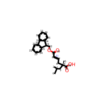 CC(C)C[C@](C)(C/C=C/C(=O)OCC1c2ccccc2-c2ccccc21)C(=O)O